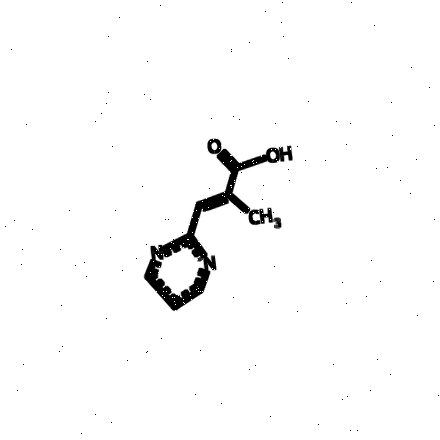 C/C(=C\c1ncccn1)C(=O)O